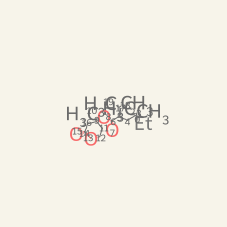 CCC(C)(C)CC(C(=O)OC1(C)CCOC(=O)C1)=C(C)C